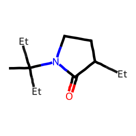 CCC1CCN(C(C)(CC)CC)C1=O